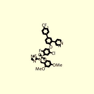 COc1ccc(CN(c2ncns2)S(=O)(=O)c2cc(Cl)c(Oc3ccc(-c4ccc(C(F)(F)F)cc4)cc3-c3ccnnc3)cc2F)c(OC)c1